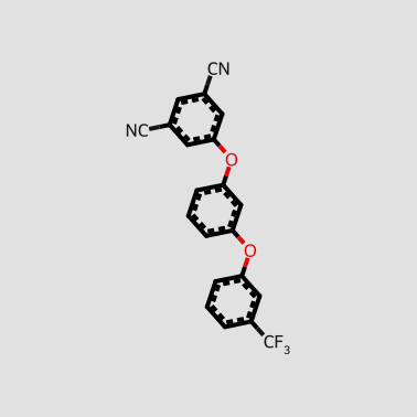 N#Cc1cc(C#N)cc(Oc2cccc(Oc3cccc(C(F)(F)F)c3)c2)c1